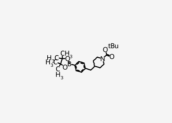 CC(C)(C)OC(=O)N1CCC(Cc2ccc(B3OC(C)(C)C(C)(C)O3)cc2)CC1